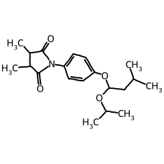 CC(C)CC(Oc1ccc(N2C(=O)C(C)C(C)C2=O)cc1)OC(C)C